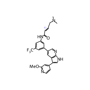 COc1cc(-c2c[nH]c3ncc(-c4cc(NC(=O)/C=C/CN(C)C)cc(C(F)(F)F)c4)cc23)ccn1